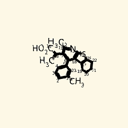 Cc1cccc(-c2c(C(C)C(=O)O)c(C)nc3sc4c(c23)CCCC4)c1